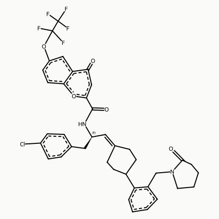 O=C(N[C@@H](C=C1CCC(c2ccccc2CN2CCCCC2=O)CC1)Cc1ccc(Cl)cc1)c1cc(=O)c2cc(OC(F)(F)C(F)(F)F)ccc2o1